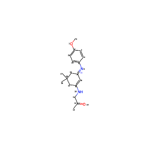 COc1ccc(/N=C2/C=C(NCC(C)=O)CC(C)(C)C2)cc1